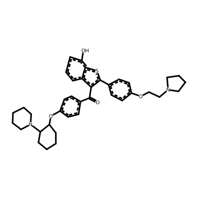 O=C(c1ccc(OC2CCCCC2N2CCCCC2)cc1)c1c(-c2ccc(OCCN3CCCC3)cc2)sc2c(O)cccc12